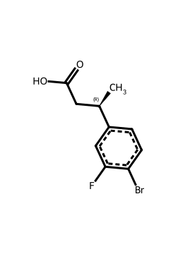 C[C@H](CC(=O)O)c1ccc(Br)c(F)c1